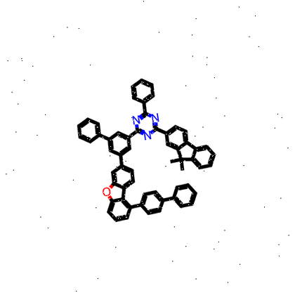 CC1(C)c2ccccc2-c2ccc(-c3nc(-c4ccccc4)nc(-c4cc(-c5ccccc5)cc(-c5ccc6c(c5)oc5cccc(-c7ccc(-c8ccccc8)cc7)c56)c4)n3)cc21